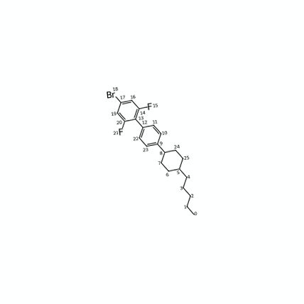 CCCCCC1CCC(c2ccc(-c3c(F)cc(Br)cc3F)cc2)CC1